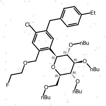 CCCCOC[C@H]1O[C@@H](c2cc(Cc3ccc(CC)cc3)c(Cl)cc2COCCF)[C@H](OCCCC)[C@@H](OCCCC)[C@@H]1OCCCC